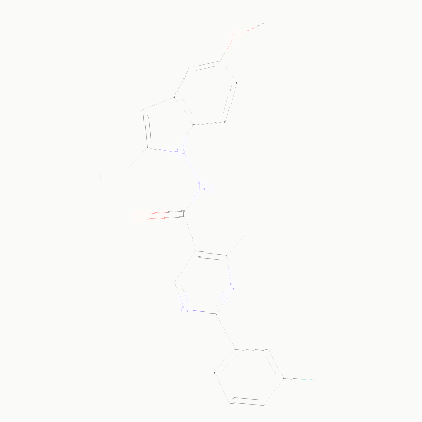 COc1ccc2c(c1)cc(C)n2NC(=O)c1cnc(-c2cccc(F)c2)nc1C